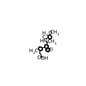 COc1cccc([C@@H](C)NC(C)c2cc(-c3ccc(C)c(CCC(=O)O)c3)c3ccccc3c2)c1.Cl